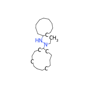 CCN(NC1CCCCCCCCCC1)C1CCCCCCCCCCCC1